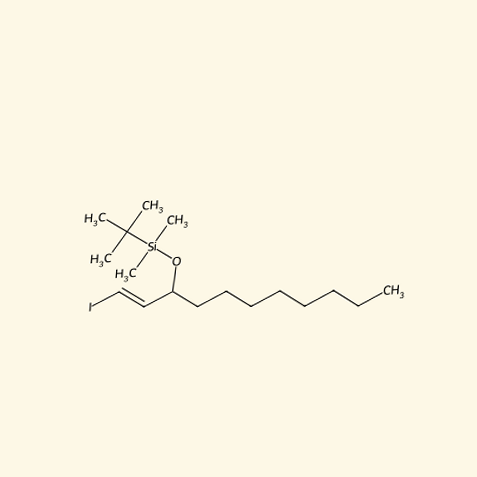 CCCCCCCCC(C=CI)O[Si](C)(C)C(C)(C)C